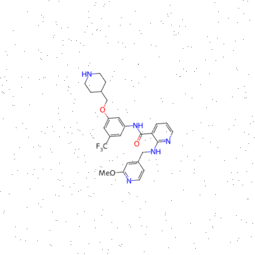 COc1cc(CNc2ncccc2C(=O)Nc2cc(OCC3CCNCC3)cc(C(F)(F)F)c2)ccn1